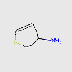 NC1C=CSC1